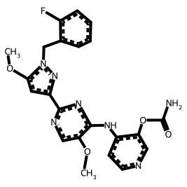 COc1cnc(-c2cc(OC)n(Cc3ccccc3F)n2)nc1Nc1ccncc1OC(N)=O